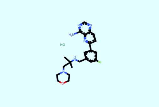 CC(C)(CN1CCOCC1)NCc1cc(F)cc(-c2ccc3ncnc(N)c3n2)c1.Cl